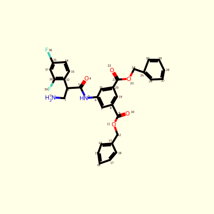 NCC(C(=O)Nc1cc(C(=O)OCc2ccccc2)cc(C(=O)OCc2ccccc2)c1)c1ccc(F)cc1F